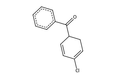 O=C(c1ccccc1)C1C=CC(Cl)=CC1